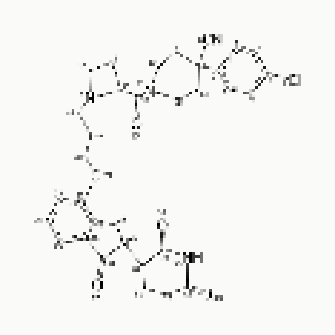 N#CC1(c2ccc(Cl)cc2)CCN(C(=O)C2CCN2CCCOc2cccc3c2CN(C2CCC(=O)NC2=O)C3=O)CC1